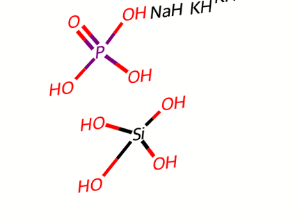 O=P(O)(O)O.O[Si](O)(O)O.[KH].[KH].[NaH]